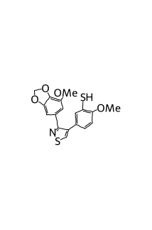 COc1ccc(-c2csnc2-c2cc(OC)c3c(c2)OCO3)cc1S